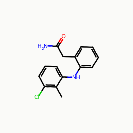 Cc1c(Cl)cccc1Nc1ccccc1CC(N)=O